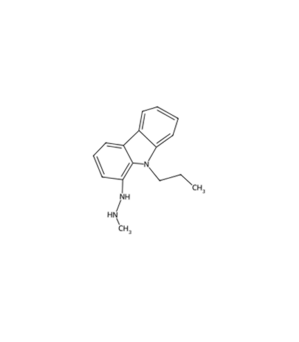 CCCn1c2ccccc2c2cccc(NNC)c21